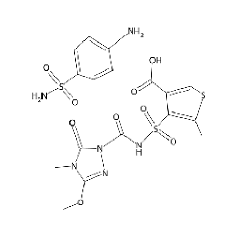 COc1nn(C(=O)NS(=O)(=O)c2c(C(=O)O)csc2C)c(=O)n1C.Nc1ccc(S(N)(=O)=O)cc1